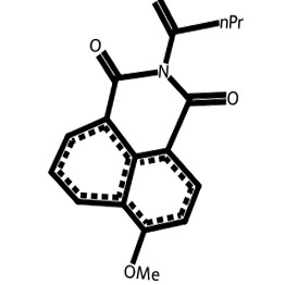 CCCC(=O)N1C(=O)c2cccc3c(OC)ccc(c23)C1=O